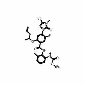 C=CCC(C)Oc1cc(-n2nc(CC)n(C)c2=O)c(F)cc1C(=O)Nc1c(C)cccc1NC(=O)OC(C)(C)C